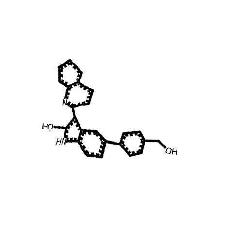 OCc1ccc(-c2ccc3[nH]c(O)c(-c4ccc5ccccc5n4)c3c2)cc1